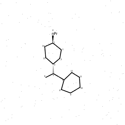 CCC[C@H]1CC[C@H](C(C)C2CCCCC2)CC1